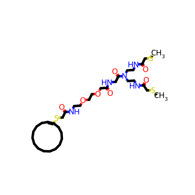 CSCC(=O)NCCN(CCNC(=O)CSC)C(=O)CNC(=O)COCCOCCNC(=O)CS/C1=C/CCCCCCCCCCCCC1